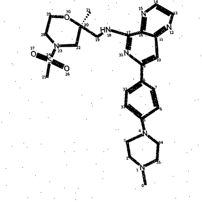 CN1CCN(c2ccc(-c3cc4nccnc4c(NC[C@@]4(C)CN(S(C)(=O)=O)CCO4)n3)cc2)CC1